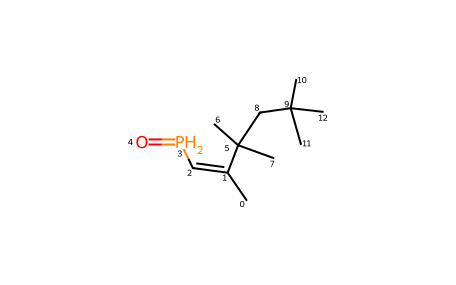 CC(=C[PH2]=O)C(C)(C)CC(C)(C)C